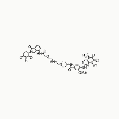 CC[C@@H]1C(=O)N(C)c2cnc(Nc3ccc(C(=O)NC4CCN(CCNCCOCC(=O)Nc5cccc6c5CN(C5CCC(=O)NC5=O)C6=O)CC4)cc3OC)nc2N1C(C)C